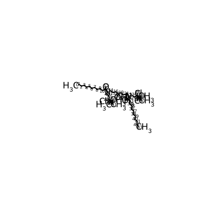 CCCCCCCCCCCC(=O)N(CCCC(O)CCCN(CCC(Cl)[N+](C)(C)C)C(=O)CCCCCCCCCCC)CCC(Cl)[N+](C)(C)C